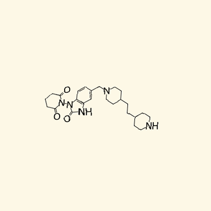 O=C1CCCC(=O)N1n1c(=O)[nH]c2cc(CN3CCC(CCC4CCNCC4)CC3)ccc21